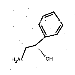 O[C@H](C[AsH2])c1ccccc1